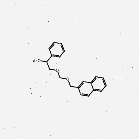 CC(=O)OC(COCOCc1ccc2ccccc2c1)c1ccccc1